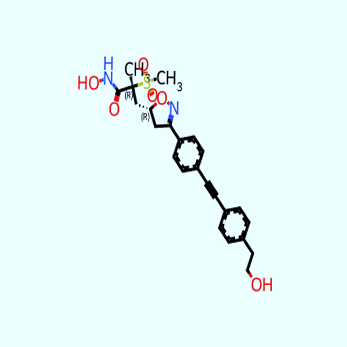 C[C@@](C[C@H]1CC(c2ccc(C#Cc3ccc(CCO)cc3)cc2)=NO1)(C(=O)NO)S(C)(=O)=O